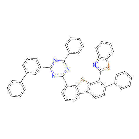 c1ccc(-c2cccc(-c3nc(-c4ccccc4)nc(-c4cccc5c4sc4c(-c6nc7ccccc7s6)c(-c6ccccc6)ccc45)n3)c2)cc1